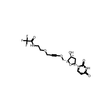 O=C(NCCOCC#COC[C@H]1O[C@@H](n2ccc(=O)[nH]c2=O)C[C@@H]1O)C(F)(F)F